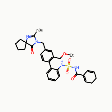 CCCCC1=NC2(CCCC2)C(=O)N1Cc1ccc(-c2ccccc2NS(=O)(=O)NC(=O)C2=CCCC=C2)c(COCC)c1